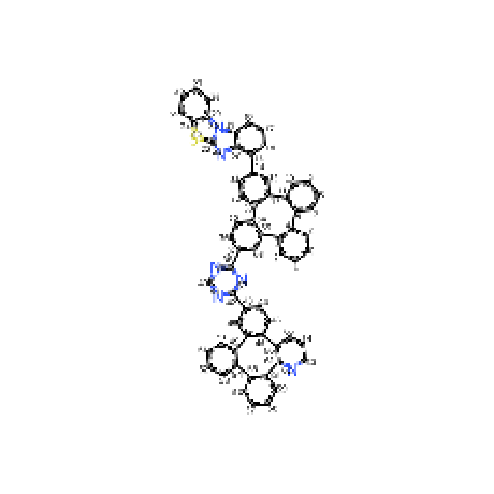 c1ccc2c(c1)-c1ccccc1-c1cc(-c3cccc4c3nc3sc5ccccc5n34)ccc1-c1ccc(-c3ncnc(-c4ccc5c(c4)-c4ccccc4-c4ccccc4-c4ncccc4-5)n3)cc1-2